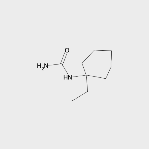 CCC1(NC(N)=O)CCCCC1